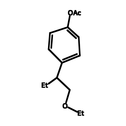 CCOCC(CC)c1ccc(OC(C)=O)cc1